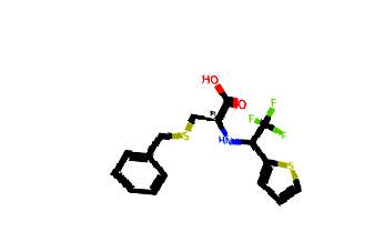 O=C(O)[C@H](CSCc1ccccc1)NC(c1cccs1)C(F)(F)F